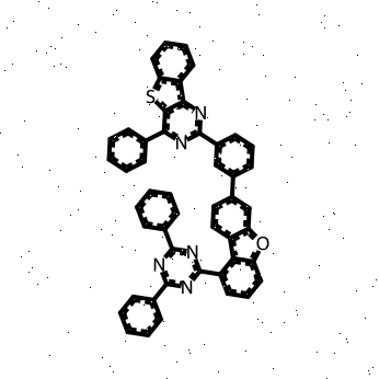 c1ccc(-c2nc(-c3ccccc3)nc(-c3cccc4oc5cc(-c6cccc(-c7nc(-c8ccccc8)c8sc9ccccc9c8n7)c6)ccc5c34)n2)cc1